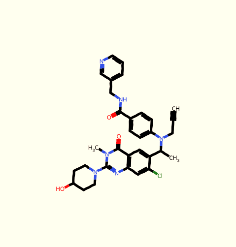 C#CCN(c1ccc(C(=O)NCc2cccnc2)cc1)C(C)c1cc2c(=O)n(C)c(N3CCC(O)CC3)nc2cc1Cl